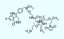 CC(CCN1C(=O)C=CC1=O)OCC(C)C(=O)N[C@H](C)C(=O)N[C@H](CCCCN)C(=O)NCCOCN(C)Cc1ccc(-c2[nH]c3cc(F)cc4c3c2CCNC4=O)cc1